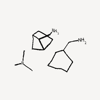 CN(C)C.NC1C2CCC1C2.NCC1CCCCC1